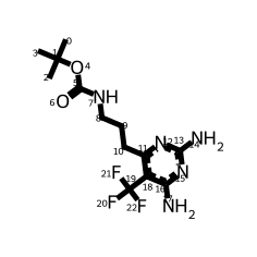 CC(C)(C)OC(=O)NCCCc1nc(N)nc(N)c1C(F)(F)F